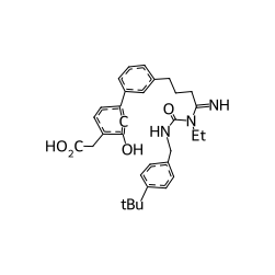 CCN(C(=N)CCCc1cccc(-c2ccc(CC(=O)O)c(O)c2)c1)C(=O)NCc1ccc(C(C)(C)C)cc1